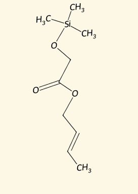 C/C=C/COC(=O)CO[Si](C)(C)C